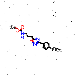 CCCCCCCCCCc1ccc(-c2noc(/C=C/CNC(=O)OC(C)(C)C)n2)cc1